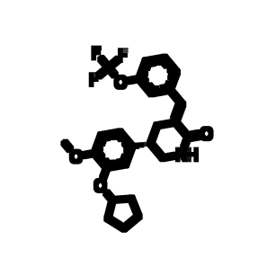 COc1ccc([C@H]2CNC(=O)C(=Cc3cccc(OC(F)(F)F)c3)C2)cc1OC1CCCC1